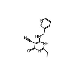 CCc1nc(=O)c(C#N)c(NCc2cccnc2)[nH]1